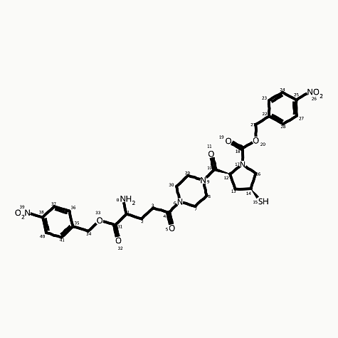 NC(CCC(=O)N1CCN(C(=O)[C@@H]2C[C@H](S)CN2C(=O)OCc2ccc([N+](=O)[O-])cc2)CC1)C(=O)OCc1ccc([N+](=O)[O-])cc1